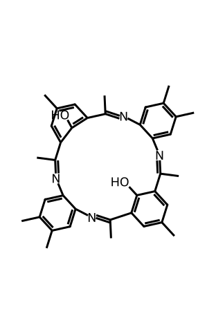 Cc1cc2c(C)nc3cc(C)c(C)cc3nc(C)c3cc(C)cc(c(C)nc4cc(C)c(C)cc4nc(C)c(c1)c2O)c3O